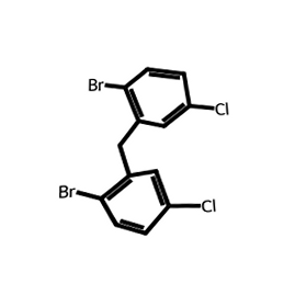 Clc1ccc(Br)c(Cc2cc(Cl)ccc2Br)c1